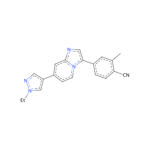 CCn1cc(-c2ccn3c(-c4ccc(C#N)c(C)c4)cnc3c2)cn1